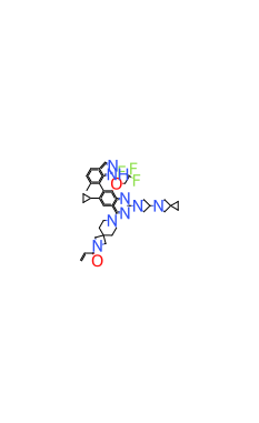 C=CC(=O)N1CC2(CCN(c3nc(N4CC(N5CC6(CC6)C5)C4)nc4c(OCC(F)(F)F)c(-c5c(C)ccc6cn[nH]c56)c(C5CC5)cc34)CC2)C1